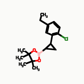 CCc1ccc(Cl)c(C2CC2B2OC(C)(C)C(C)(C)O2)c1